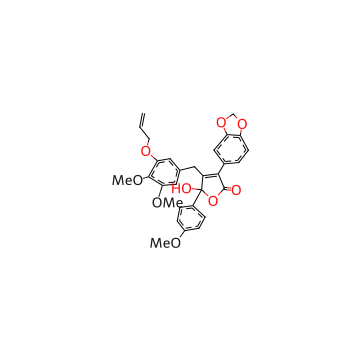 C=CCOc1cc(CC2=C(c3ccc4c(c3)OCO4)C(=O)OC2(O)c2ccc(OC)cc2)cc(OC)c1OC